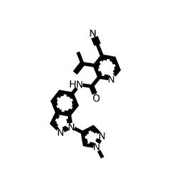 C=C(C)c1c(C#N)ccnc1C(=O)Nc1ccc2cnn(-c3cnn(C)c3)c2c1